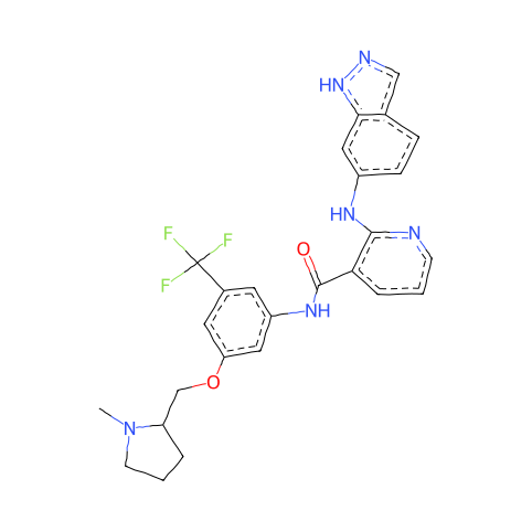 CN1CCCC1COc1cc(NC(=O)c2cccnc2Nc2ccc3cn[nH]c3c2)cc(C(F)(F)F)c1